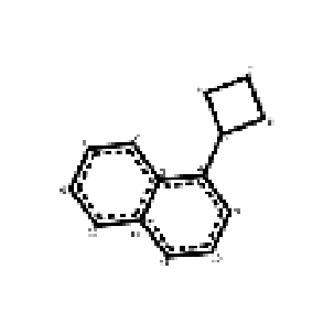 c1ccc2c([C]3CCC3)cccc2c1